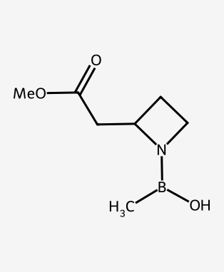 COC(=O)CC1CCN1B(C)O